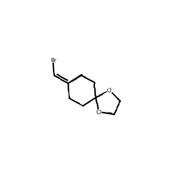 BrC=C1CCC2(CC1)OCCO2